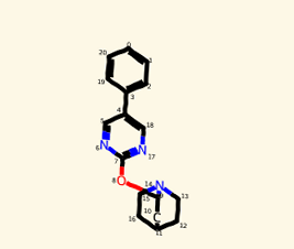 c1ccc(-c2cnc(OC3CC4CCN3CC4)nc2)cc1